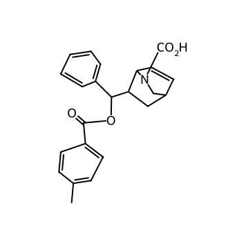 Cc1ccc(C(=O)OC(c2ccccc2)C2CC3C=CC2N(C(=O)O)C3)cc1